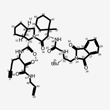 C#CCC(NC(=O)[C@@H]1[C@H]2CCC[C@H]2CN1C(=O)[C@@H](NC(=O)N[C@H](CN1C(=O)c2ccccc2C1=O)C(C)(C)C)C1(C)CCCCC1)C(=O)C(=O)NCC=C